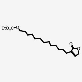 CCOC(=O)OCCCCCCCCCCCCCC1=CCOC1=O